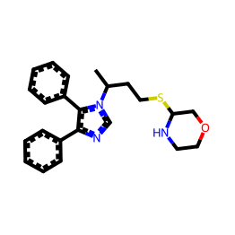 CC(CCSC1COCCN1)n1cnc(-c2ccccc2)c1-c1ccccc1